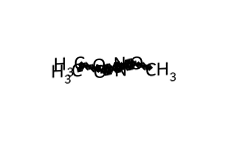 CCCCCOc1ccc(-c2ncc(-c3ccc(OC(=O)CCCCC(C)CC)cc3)cn2)cc1